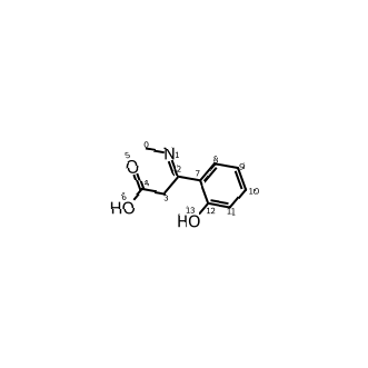 C/N=C(\CC(=O)O)c1ccccc1O